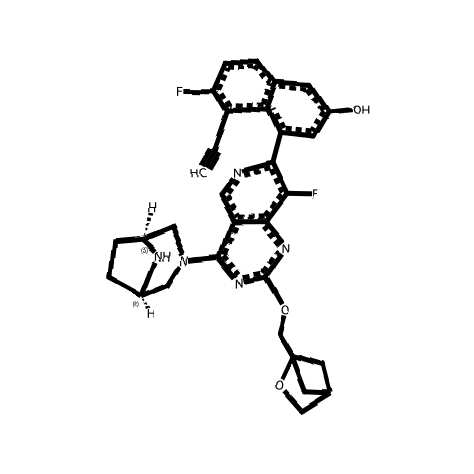 C#Cc1c(F)ccc2cc(O)cc(-c3ncc4c(N5C[C@H]6CC[C@@H](C5)N6)nc(OCC56CC(CO5)C6)nc4c3F)c12